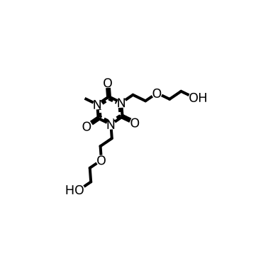 Cn1c(=O)n(CCOCCO)c(=O)n(CCOCCO)c1=O